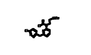 CSCCN(C(=O)Cl)c1cccc(Cc2ccc(Cl)nc2)n1